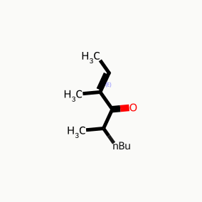 C/C=C(\C)C(=O)C(C)CCCC